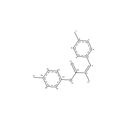 CC(=Cc1ccc(C)cc1)C(=O)Oc1ccc(C)cc1